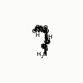 NCCOc1cncc(-c2ccnc(CNCC[C@H]3CN(c4ccc5c(n4)NC(=O)CO5)C(=O)O3)c2)c1